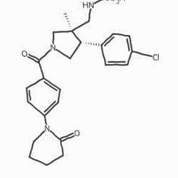 C[C@@]1(CNC(=O)O)CN(C(=O)c2ccc(N3CCCCC3=O)cc2)C[C@H]1c1ccc(Cl)cc1